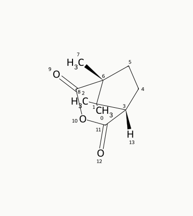 CC1(C)[C@@H]2CC[C@@]1(C)C(=O)OC2=O